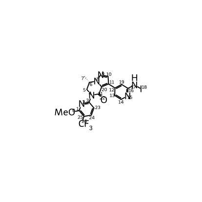 COc1nc(N2C[C@H](C)n3ncc(-c4ccnc(NI)c4)c3C2=O)ccc1C(F)(F)F